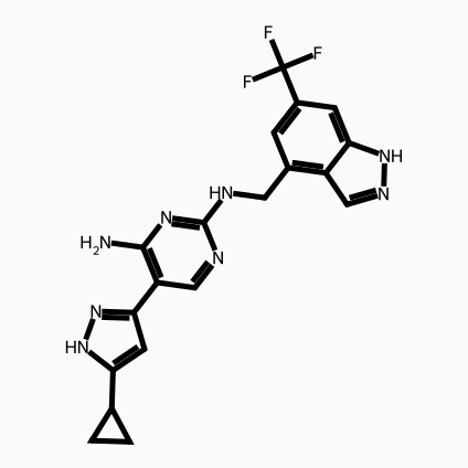 Nc1nc(NCc2cc(C(F)(F)F)cc3[nH]ncc23)ncc1-c1cc(C2CC2)[nH]n1